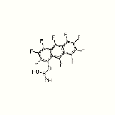 OB(O)Oc1c(F)c(F)c(F)c2c(F)c3c(F)c(F)c(F)c(F)c3c(F)c12